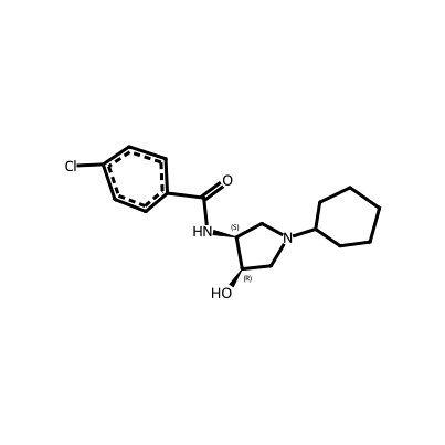 O=C(N[C@H]1CN(C2CCCCC2)C[C@H]1O)c1ccc(Cl)cc1